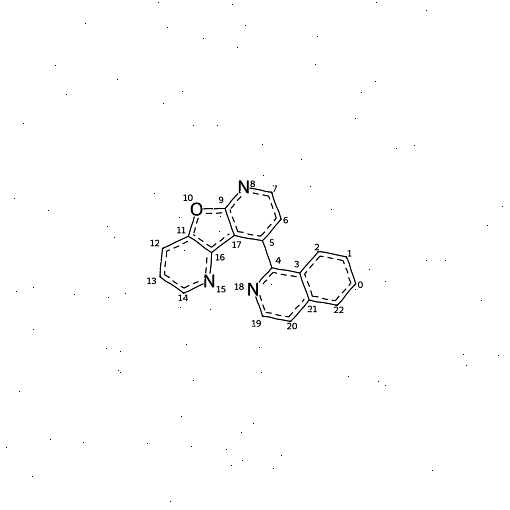 c1ccc2c(-c3ccnc4oc5cccnc5c34)nccc2c1